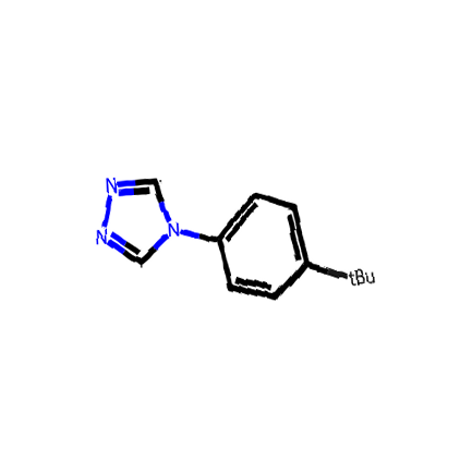 CC(C)(C)c1ccc(-n2[c]nn[c]2)cc1